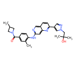 Cc1cc(C(=O)N2CC(C)C2)ccc1Nc1cc2nc(-c3cnn(CC(C)(C)O)c3)ccc2cn1